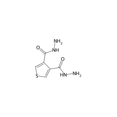 NNC(=O)c1cscc1C(=O)NN